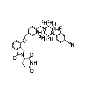 [2H]C1([2H])N(Cc2ccc(COc3cccc4c3CN(C3CCC(=O)NC3=O)C4=O)cc2)C([2H])([2H])C([2H])([2H])N(c2ccc(C#N)cc2F)C1([2H])[2H]